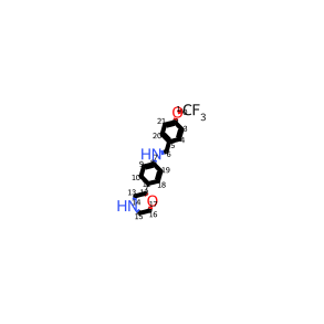 FC(F)(F)Oc1ccc(CNC2=CCC([C@H]3CNCCO3)C=C2)cc1